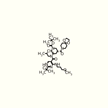 COCCCNc1nc(C(C)(C)C)ncc1C(=O)N(CC(C)C)[C@H]1C[C@@H](C(=O)N2CCC3(CC2)OCCO3)CN(C(=O)OC(C)(C)C)C1